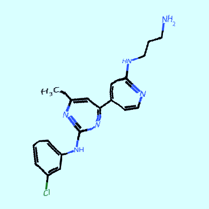 Cc1cc(-c2ccnc(NCCCN)c2)nc(Nc2cccc(Cl)c2)n1